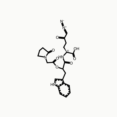 [N-]=[N+]=CC(=O)CC[C@H](NC(=O)C(Cc1c[nH]c2ccccc12)OC(=O)CN1CCCC1=O)C(=O)O